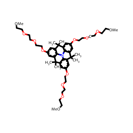 COCCOCCOCCOc1cc2c3c(c1)C(C)(C)c1cc(OCCOCCOCCOC)cc4c1N3c1c(cc(OCCOCCOCCOC)cc1C4(C)C)C2(C)C